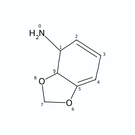 NC1C=CC=C2OCO[C]21